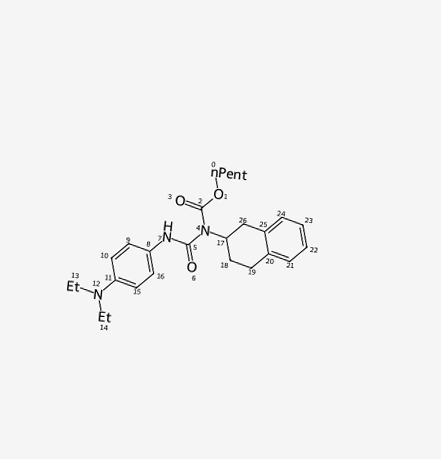 CCCCCOC(=O)N(C(=O)Nc1ccc(N(CC)CC)cc1)C1CCc2ccccc2C1